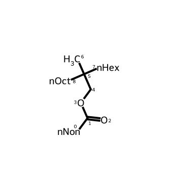 CCCCCCCCCC(=O)OCC(C)(CCCCCC)CCCCCCCC